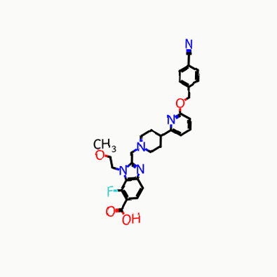 COCCn1c(CN2CCC(c3cccc(OCc4ccc(C#N)cc4)n3)CC2)nc2ccc(C(=O)O)c(F)c21